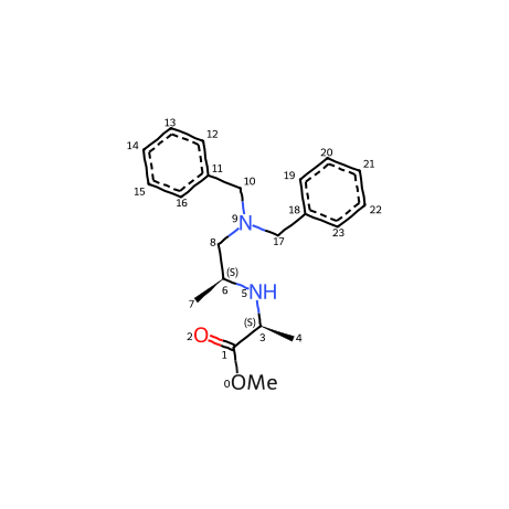 COC(=O)[C@H](C)N[C@@H](C)CN(Cc1ccccc1)Cc1ccccc1